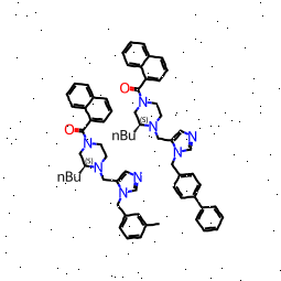 CCCC[C@H]1CN(C(=O)c2cccc3ccccc23)CCN1Cc1cncn1Cc1ccc(-c2ccccc2)cc1.CCCC[C@H]1CN(C(=O)c2cccc3ccccc23)CCN1Cc1cncn1Cc1cccc(C)c1